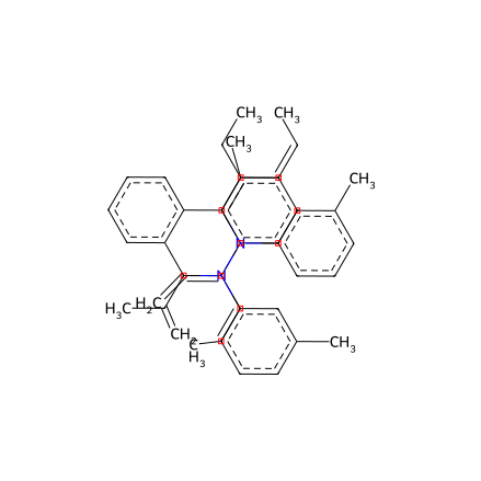 C=C(C)/C=C(\C=C/C)N(/C(=C(\C=C/C)CC)c1ccccc1C(=C)N(c1cccc(C)c1)c1cccc(C)c1)c1cccc(C)c1